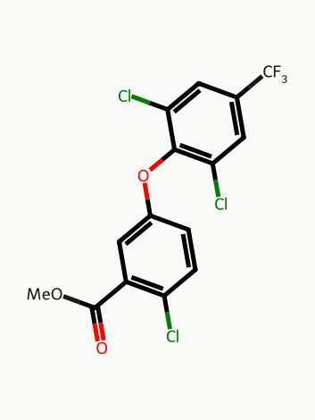 COC(=O)c1cc(Oc2c(Cl)cc(C(F)(F)F)cc2Cl)ccc1Cl